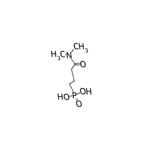 CN(C)C(=O)CCCP(=O)(O)O